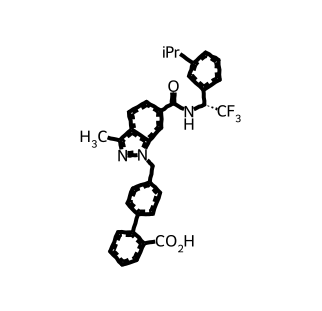 Cc1nn(Cc2ccc(-c3ccccc3C(=O)O)cc2)c2cc(C(=O)N[C@H](c3cccc(C(C)C)c3)C(F)(F)F)ccc12